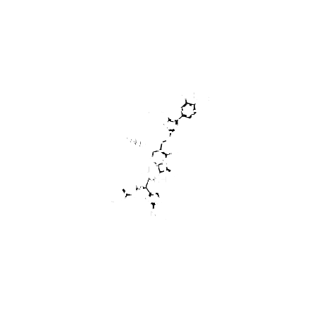 C=C(O/N=C(/C(=O)N[C@@H]1C(=O)N2C(C(=O)[O-])=C(CSc3nc(C(=O)[O-])c(-c4ccc(O)c(O)c4)s3)CS[C@H]12)c1csc(N)n1)C(=O)[O-].[Na+].[Na+].[Na+]